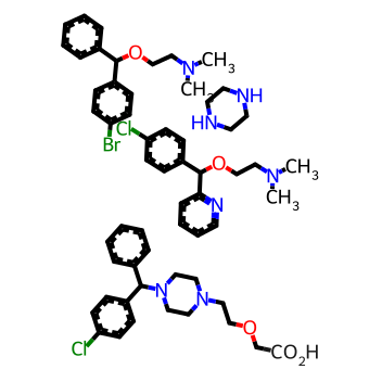 C1CNCCN1.CN(C)CCOC(c1ccc(Cl)cc1)c1ccccn1.CN(C)CCOC(c1ccccc1)c1ccc(Br)cc1.O=C(O)COCCN1CCN(C(c2ccccc2)c2ccc(Cl)cc2)CC1